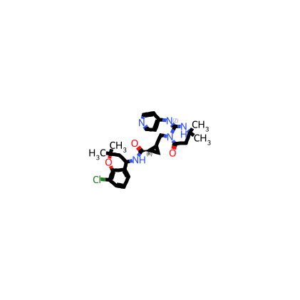 CC1(C)CC(=O)N(CC2C[C@H]2C(=O)NC2CC(C)(C)Oc3c(Cl)cccc32)/C(=N\c2ccncc2)N1